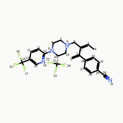 C=C(/C(=C\C)CN1CCN(c2ccc(C(F)(F)F)cn2)[C@@H](C(F)(F)F)C1)c1ccc(C#N)cc1